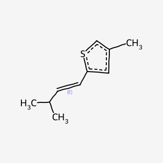 Cc1csc(/C=C/C(C)C)c1